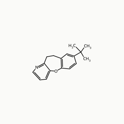 CC(C)(C)c1ccc2c(c1)CCc1ncccc1O2